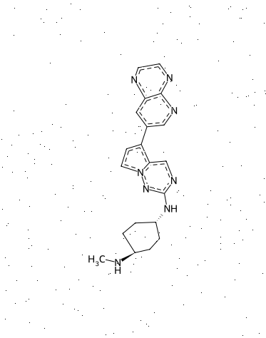 CN[C@H]1CC[C@H](Nc2ncc3c(-c4cnc5nccnc5c4)ccn3n2)CC1